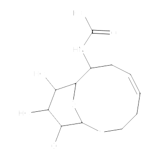 O=C(NC1C/C=C\CCSC2OC1C(O)C(O)C2O)C(F)(F)F